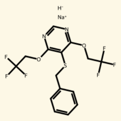 FC(F)(F)COc1ncnc(OCC(F)(F)F)c1SCc1ccccc1.[H-].[Na+]